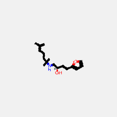 CC(C)CCCC(C)(C)NC[C@H](O)CCc1ccco1